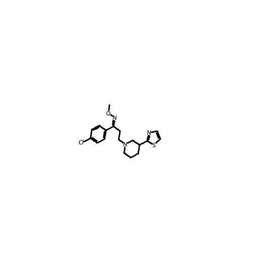 CO/N=C(/CCN1CCCC(c2nccs2)C1)c1ccc(Cl)cc1